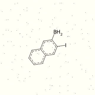 Bc1cc2ccccc2cc1I